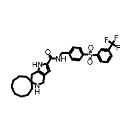 O=C(NCc1ccc(S(=O)(=O)c2cccc(C(F)(F)F)c2)cc1)c1cc2c([nH]1)CC1(CCCCCCCC1)NC2